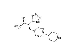 CC(C)[C@H](C(=O)O)[C@H](Cc1ccc(C2CCNCC2)nc1)c1nnn[nH]1